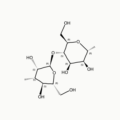 C[C@@H]1[C@H](O)[C@@H](O[C@H]2[C@H](O)[C@H](O)[C@@H](C)O[C@@H]2CO)O[C@H](CO)[C@H]1O